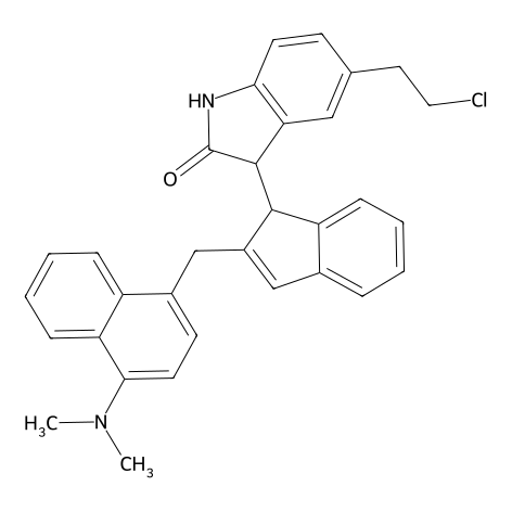 CN(C)c1ccc(CC2=Cc3ccccc3C2C2C(=O)Nc3ccc(CCCl)cc32)c2ccccc12